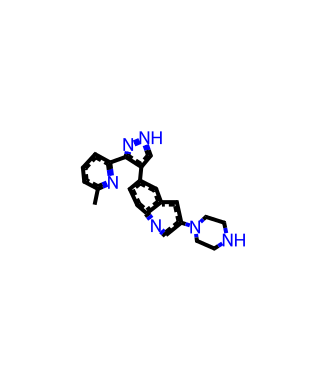 Cc1cccc(-c2n[nH]cc2-c2ccc3ncc(N4CCNCC4)cc3c2)n1